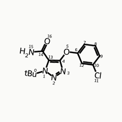 CC(C)(C)n1nnc(Oc2cccc(Cl)c2)c1C(N)=O